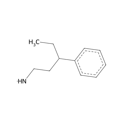 CCC(CC[NH])c1ccccc1